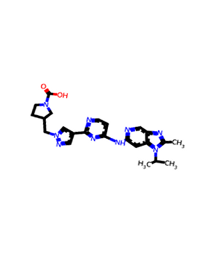 Cc1nc2cnc(Nc3ccnc(-c4cnn(CC5CCN(C(=O)O)C5)c4)n3)cc2n1C(C)C